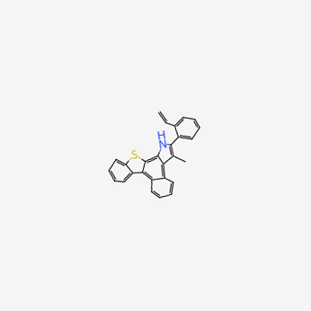 C=Cc1ccccc1-c1[nH]c2c3sc4ccccc4c3c3ccccc3c2c1C